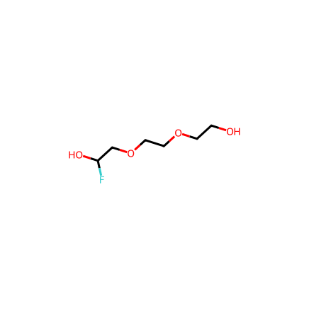 OCCOCCOCC(O)F